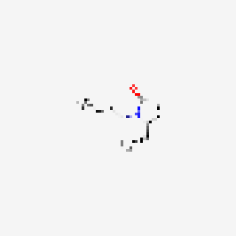 C=CC1CCC(=O)N1CCCC